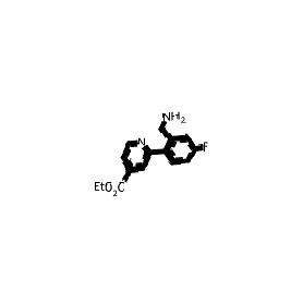 CCOC(=O)c1ccnc(-c2ccc(F)cc2CN)c1